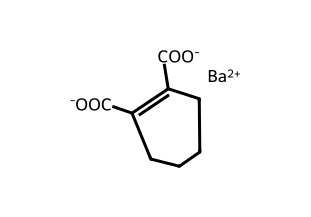 O=C([O-])C1=C(C(=O)[O-])CCCC1.[Ba+2]